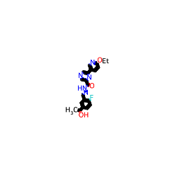 CCOc1ccc(-c2cncc(C(=O)N/N=C/c3cc(C(C)O)ccc3F)n2)cn1